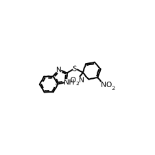 O=[N+]([O-])C1=CC=CC(Sc2nc3ccccc3[nH]2)([N+](=O)[O-])C1